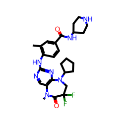 Cc1cc(C(=O)NC2CCNCC2)ccc1Nc1ncc2c(n1)N(C1CCCC1)CC(F)(F)C(=O)N2C